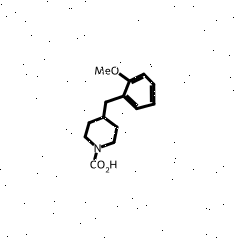 COc1ccccc1CC1CCN(C(=O)O)CC1